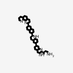 CCCC(/C=C\N)c1ccc2ccc(-c3ccc4c(c3)C=CC(c3ccc5cc(-c6ccc7ccc8cccnc8c7n6)ccc5c3)N4)cc2n1